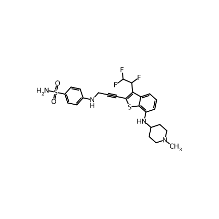 CN1CCC(Nc2cccc3c(C(F)C(F)F)c(C#CCNc4ccc(S(N)(=O)=O)cc4)sc23)CC1